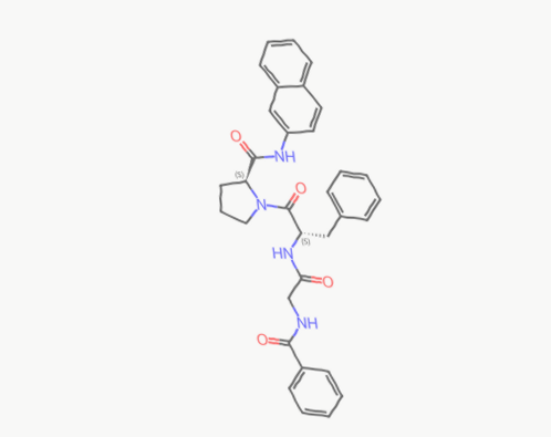 O=C(CNC(=O)c1ccccc1)N[C@@H](Cc1ccccc1)C(=O)N1CCC[C@H]1C(=O)Nc1ccc2ccccc2c1